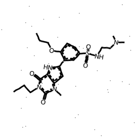 CCCOc1ccc(S(=O)(=O)NCCN(C)C)cc1-c1cc2c([nH]1)c(=O)n(CCC)c(=O)n2C